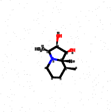 C[C@H]1CCCN2[C@@H]1[C@@H](O)[C@@H](O)[C@H]2C(=O)O